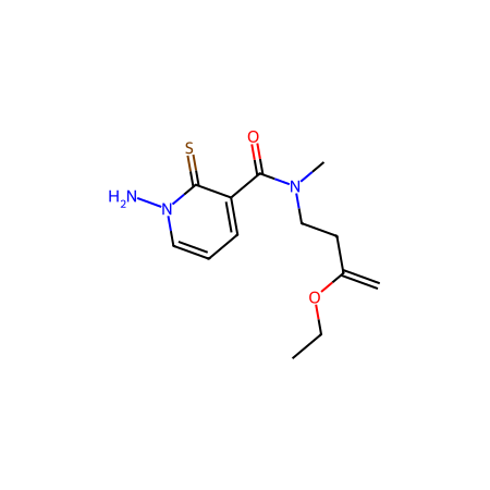 C=C(CCN(C)C(=O)c1cccn(N)c1=S)OCC